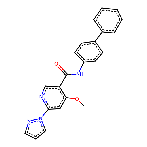 COc1cc(-n2cccn2)ncc1C(=O)Nc1ccc(-c2ccccc2)cc1